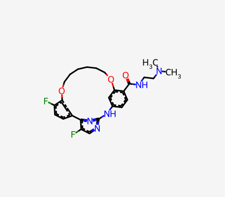 CN(C)CCNC(=O)c1ccc2cc1OCCCCCCOc1cc(ccc1F)-c1nc(ncc1F)N2